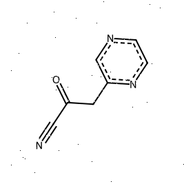 N#CC(=O)Cc1cnccn1